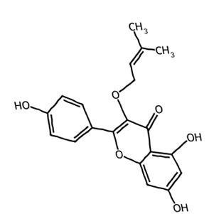 CC(C)=CCOc1c(-c2ccc(O)cc2)oc2cc(O)cc(O)c2c1=O